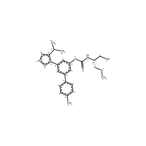 COC[C@@H](CO)NC(=O)Oc1cc(-c2ccc(C)cc2)cc(-n2nnnc2C(C)C)c1